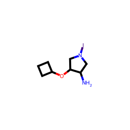 NC1CN(I)CC1OC1CCC1